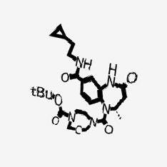 C[C@H]1CC(=O)Nc2cc(C(=O)NCCC3CC3)ccc2N1C(=O)N1CCCN(C(=O)OC(C)(C)C)CC1